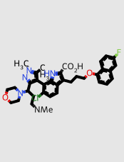 CNCCC(c1nn(C)c(C)c1-c1c(Cl)ccc2c(CCCOc3cccc4cc(F)ccc34)c(C(=O)O)[nH]c12)N1CCOCC1